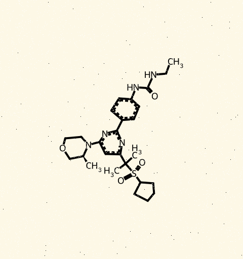 CCNC(=O)Nc1ccc(-c2nc(N3CCOC[C@@H]3C)cc(C(C)(C)S(=O)(=O)C3CCCC3)n2)cc1